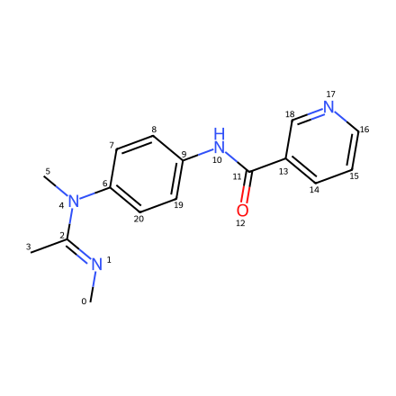 CN=C(C)N(C)c1ccc(NC(=O)c2cccnc2)cc1